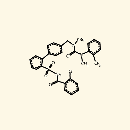 CCCCN(Cc1ccc(-c2ccccc2S(=O)(=O)NC(=O)c2ccccc2Cl)cc1)C(=O)N(C)c1ccccc1C(F)(F)F